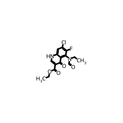 CCOC(=O)c1c[nH]c2cc(Cl)c(F)c(N(C=O)CC)c2c1=O